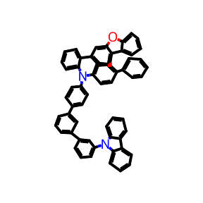 c1ccc(-c2ccc(N(c3ccc(-c4cccc(-c5cccc(-n6c7ccccc7c7ccccc76)c5)c4)cc3)c3ccccc3-c3ccc4c(c3)oc3ccccc34)cc2)cc1